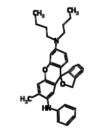 CCCCN(CCCC)c1ccc2c(c1)Oc1cc(C)c(Nc3ccccc3)cc1C21OCc2ccccc21